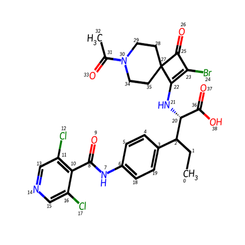 CCC(c1ccc(NC(=O)c2c(Cl)cncc2Cl)cc1)[C@H](NC1=C(Br)C(=O)C12CCN(C(C)=O)CC2)C(=O)O